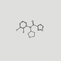 O=C(c1ccon1)N(c1cccc(F)c1F)C1CCOC1